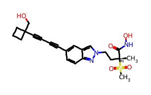 C[C@@](CCn1cc2cc(C#CC#CC3(CO)CCC3)ccc2n1)(C(=O)NO)S(C)(=O)=O